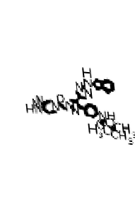 CC(C)(C)OC(=O)NC1CCC(c2nn(CC(=O)N3CCc4[nH]nnc4C3)cc2-c2cnc(NC3Cc4ccccc4C3)nc2)CC1